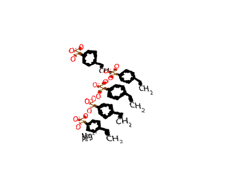 C=Cc1ccc(S(=O)(=O)[O-])cc1.C=Cc1ccc(S(=O)(=O)[O-])cc1.C=Cc1ccc(S(=O)(=O)[O-])cc1.C=Cc1ccc(S(=O)(=O)[O-])cc1.C=Cc1ccc(S(=O)(=O)[O-])cc1.[Al+3].[Mg+2]